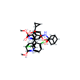 COC(=O)c1ccc(NC(=O)C2C3CC(OCc4c(-c5c(Cl)cccc5Cl)noc4C4CC4)CC2C3)cc1-c1ccc(OC)nc1